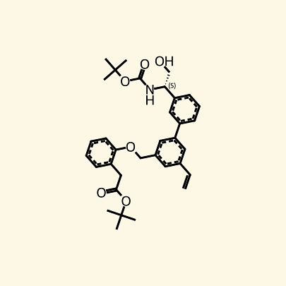 C=Cc1cc(COc2ccccc2CC(=O)OC(C)(C)C)cc(-c2cccc([C@@H](CO)NC(=O)OC(C)(C)C)c2)c1